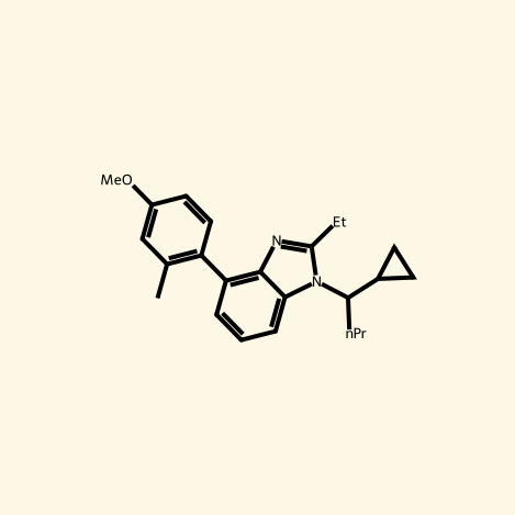 CCCC(C1CC1)n1c(CC)nc2c(-c3ccc(OC)cc3C)cccc21